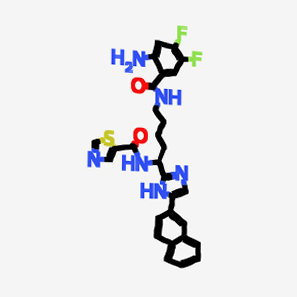 Nc1cc(F)c(F)cc1C(=O)NCCCC[C@H](NC(=O)c1cncs1)c1ncc(-c2ccc3ccccc3c2)[nH]1